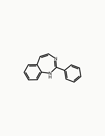 C1=Cc2ccccc2NC(c2ccccc2)=N1